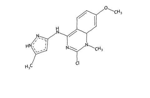 COC1=CC2C(=C(Nc3cc(C)[nH]n3)N=C(Cl)N2C)C=C1